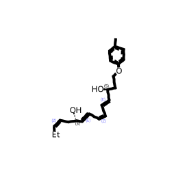 CC/C=C\C[C@H](O)/C=C/C=C\C=C\[C@@H](O)CCOc1ccc(C)cc1